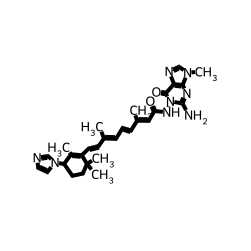 CC1=C(/C=C/C(C)=C/C=C/C(C)=C/C(=O)Nn2c(N)nc3c(ncn3C)c2=O)C(C)(C)CCC1n1ccnc1